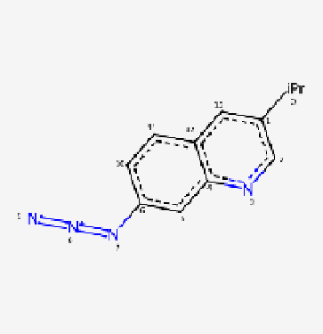 CC(C)c1cnc2cc(N=[N+]=[N-])ccc2c1